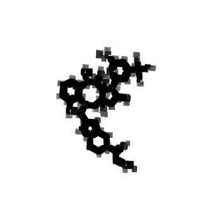 C=CC(=O)N1CCn2nc(CN3C[C@H]4CC(=O)N(c5cc(C(F)(F)F)cc(C)n5)[C@@H]4C(=O)N(C)c4cccc(C)c43)cc2C1